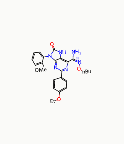 CCCCO/N=C(/N)c1nc(-c2ccc(OCC)cc2)nc2c1[nH]c(=O)n2-c1ccccc1OC